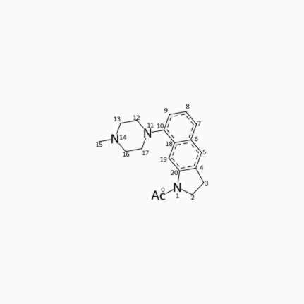 CC(=O)N1CCc2cc3cccc(N4CCN(C)CC4)c3cc21